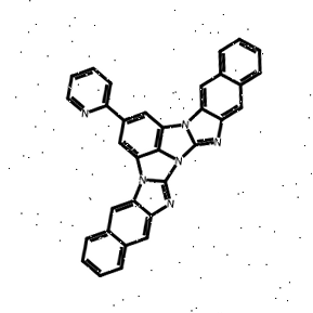 c1ccc(-c2cc3c4c(c2)n2c5cc6ccccc6cc5nc2n4c2nc4cc5ccccc5cc4n32)nc1